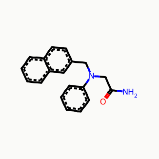 NC(=O)CN(Cc1ccc2ccccc2c1)c1ccccc1